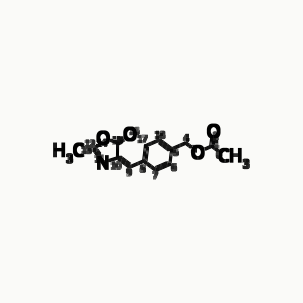 CC(=O)OCc1ccc(C=C2N=C(C)OC2=O)cc1